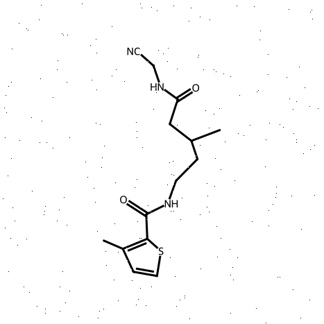 Cc1ccsc1C(=O)NCCC(C)CC(=O)NCC#N